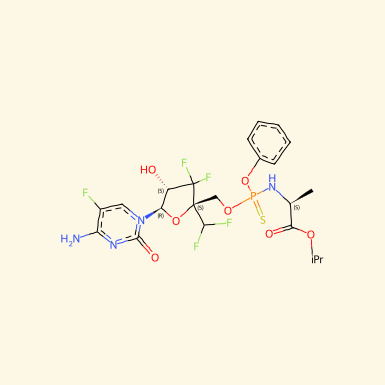 CC(C)OC(=O)[C@H](C)NP(=S)(OC[C@@]1(C(F)F)O[C@@H](n2cc(F)c(N)nc2=O)[C@H](O)C1(F)F)Oc1ccccc1